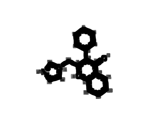 O=c1c(-c2ccccc2)c(Cn2ccnc2)oc2ccccc12